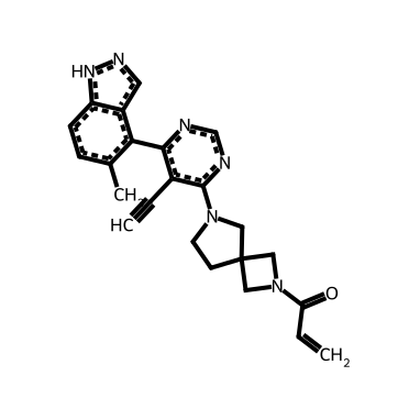 C#Cc1c(-c2c(C)ccc3[nH]ncc23)ncnc1N1CCC2(CN(C(=O)C=C)C2)C1